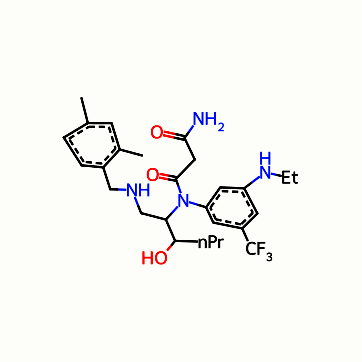 CCCC(O)C(CNCc1ccc(C)cc1C)N(C(=O)CC(N)=O)c1cc(NCC)cc(C(F)(F)F)c1